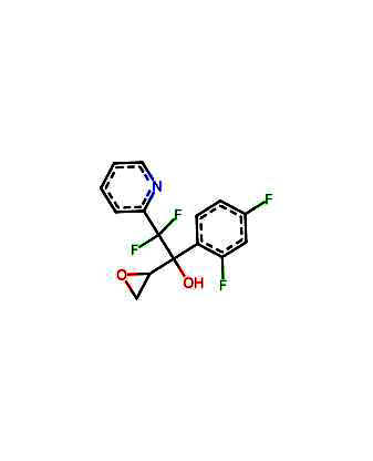 OC(c1ccc(F)cc1F)(C1CO1)C(F)(F)c1ccccn1